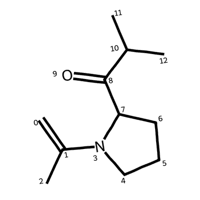 C=C(C)N1CCCC1C(=O)C(C)C